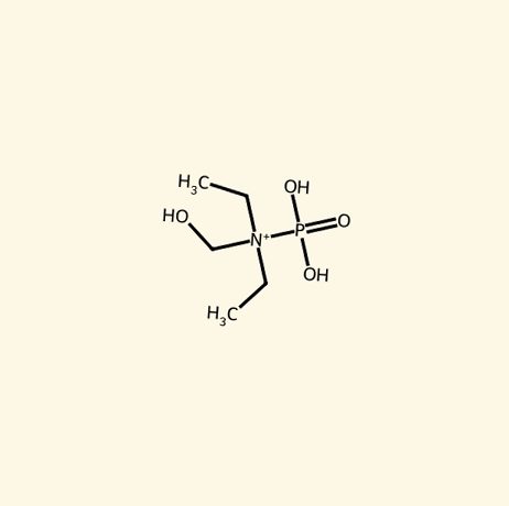 CC[N+](CC)(CO)P(=O)(O)O